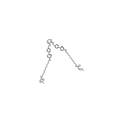 C=CC(=O)OCCCCCCCCCCOc1ccc(-c2ccc(CO[C@@H]3OCCO[C@H]3OCc3ccc(-c4ccc(OCCCCCCCCCCOC(=O)C=C)cn4)cc3)cc2)nc1